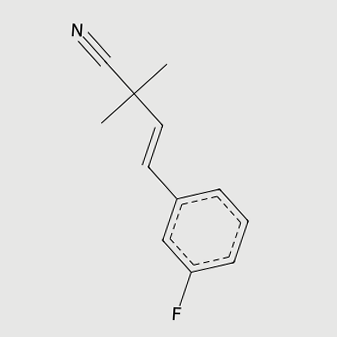 CC(C)(C#N)/C=C/c1cccc(F)c1